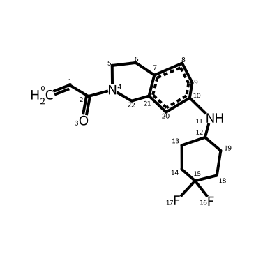 C=CC(=O)N1CCc2ccc(NC3CCC(F)(F)CC3)cc2C1